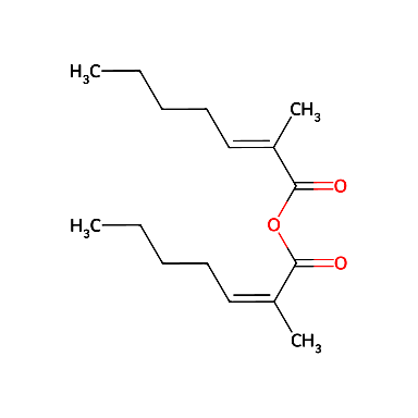 CCCCC=C(C)C(=O)OC(=O)C(C)=CCCCC